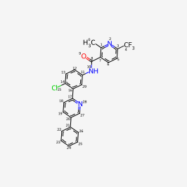 Cc1nc(C(F)(F)F)ccc1C(=O)Nc1ccc(Cl)c(-c2ccc(-c3ccccc3)cn2)c1